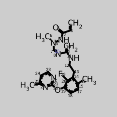 C=CC(=O)NN(C)/C=N\C(=C)NCCc1c(C)ccc(Oc2nccc(C)n2)c1F